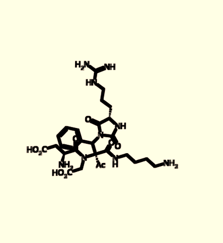 CC(=O)[C@@](C(=O)NCCCCN)(C(c1ccccc1)N1C(=O)N[C@@H](CCCNC(=N)N)C1=O)N(CC(=O)O)C(=O)[C@@H](N)CC(=O)O